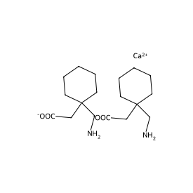 NCC1(CC(=O)[O-])CCCCC1.NCC1(CC(=O)[O-])CCCCC1.[Ca+2]